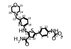 COC(=O)Nc1ccc(-c2cc(C(N)=O)c(Nc3cccc(CN4CCOCC4)n3)s2)cc1